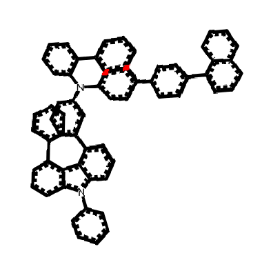 c1ccc(-c2ccccc2N(c2ccc(-c3ccc(-c4cccc5ccccc45)cc3)cc2)c2cccc(-c3cccc4c3c3c(-c5ccccc5)cccc3n4-c3ccccc3)c2)cc1